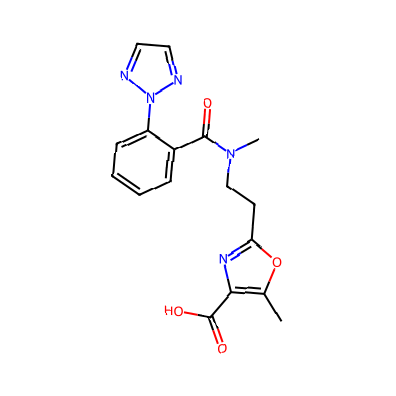 Cc1oc(CCN(C)C(=O)c2ccccc2-n2nccn2)nc1C(=O)O